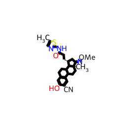 CO/N=C1\C[C@@H](CCC(=O)Nc2ncc(C)s2)C2C3CCc4cc(O)c(C#N)cc4C3CC[C@]12C